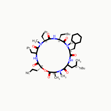 CCCC[C@@H](C)CC1NC(=O)[C@H](CC2CCCCC2)N(C)C(=O)[C@H](CC(C)(C)C)NC(=O)[C@H](CC(C)C)N(C)C(=O)C(CC(C)C)NC(=O)[C@@H](CCC#N)OC(=O)[C@H](C)N(C)C1=O